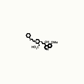 COc1ccc2nccc(C(O)CC[C@@H]3CCN(CCSC4CCCCC4)C[C@@H]3CC(=O)O)c2c1